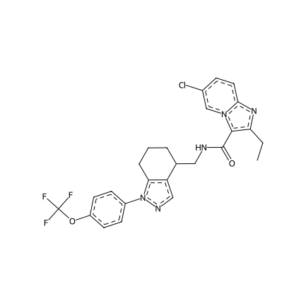 CCc1nc2ccc(Cl)cn2c1C(=O)NCC1CCCc2c1cnn2-c1ccc(OC(F)(F)F)cc1